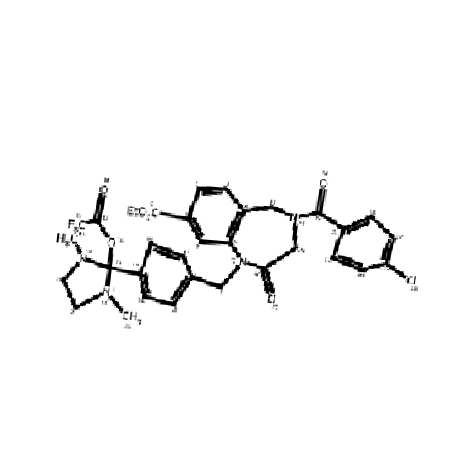 CCOC(=O)c1ccc2c(c1)N(Cc1ccc(C3(OC(=O)C(F)(F)F)N(C)CC[N+]3C)cc1)C(=O)CN(C(=O)c1ccc(Cl)cc1)C2